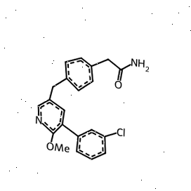 COc1ncc(Cc2ccc(CC(N)=O)cc2)cc1-c1cccc(Cl)c1